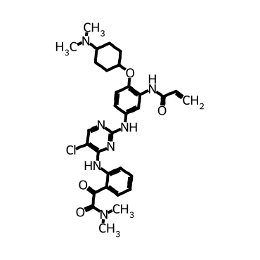 C=CC(=O)Nc1cc(Nc2ncc(Cl)c(Nc3ccccc3C(=O)C(=O)N(C)C)n2)ccc1OC1CCC(N(C)C)CC1